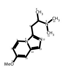 COc1ccn2c(CC(C)N(C)C)ncc2c1